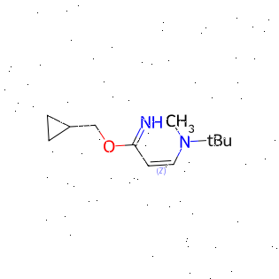 CN(/C=C\C(=N)OCC1CC1)C(C)(C)C